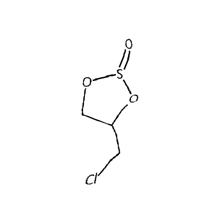 O=S1OCC(CCl)O1